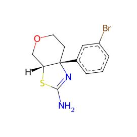 NC1=N[C@@]2(c3cccc(Br)c3)CCOC[C@H]2S1